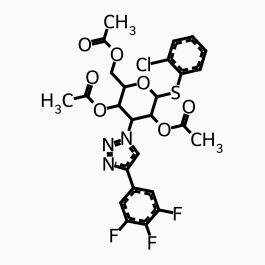 CC(=O)OCC1OC(Sc2ccccc2Cl)C(OC(C)=O)C(n2cc(-c3cc(F)c(F)c(F)c3)nn2)C1OC(C)=O